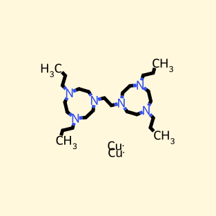 CCCN1CCN(CCC)CCN(CCN2CCN(CCC)CCN(CCC)CC2)CC1.[Cu].[Cu]